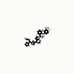 Cc1cccc(Nc2ccccc2C(=O)n2ccc3c(-c4cnn(C(CC#N)C5CCCC5)c4)ncnc32)c1C